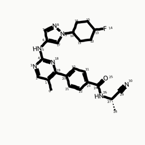 Cc1cnc(Nc2cnn(C3CCC(F)CC3)c2)nc1-c1ccc(C(=O)N[C@@H](C)C#N)cc1